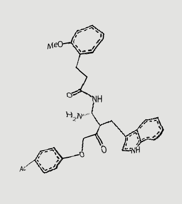 COc1ccccc1CCC(=O)N[C@@H](N)C(Cc1c[nH]c2ccccc12)C(=O)COc1ccc(C(C)=O)cc1